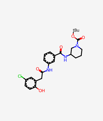 CC(C)(C)OC(=O)N1CCCC(NC(=O)c2cccc(NC(=O)Cc3cc(Cl)ccc3O)c2)C1